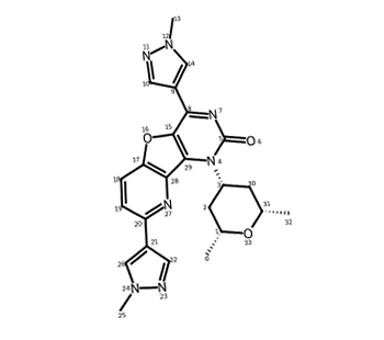 C[C@@H]1C[C@H](n2c(=O)nc(-c3cnn(C)c3)c3oc4ccc(-c5cnn(C)c5)nc4c32)C[C@H](C)O1